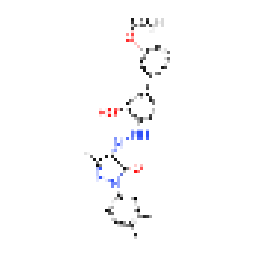 CC1=NN(c2ccc(C)c(C)c2)C(=O)C1=NNc1ccc(-c2cccc(OC(=O)O)c2)cc1O